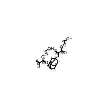 C1C2CC3CC1CC(C2)C3.C=C(C)C(=O)OOCO.C=C(C)C(=O)OOCO